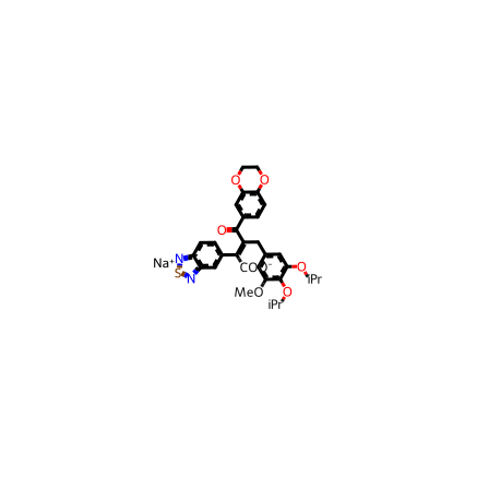 COc1cc(CC(C(=O)c2ccc3c(c2)OCCO3)=C(C(=O)[O-])c2ccc3nsnc3c2)cc(OC(C)C)c1OC(C)C.[Na+]